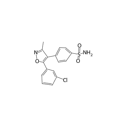 Cc1noc(-c2cccc(Cl)c2)c1-c1ccc(S(N)(=O)=O)cc1